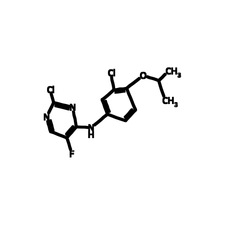 CC(C)Oc1ccc(Nc2nc(Cl)ncc2F)cc1Cl